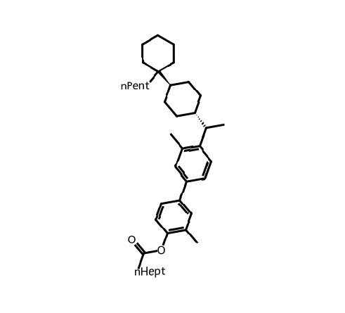 CCCCCCCC(=O)Oc1ccc(-c2ccc(C(C)[C@H]3CC[C@H](C4(CCCCC)CCCCC4)CC3)c(C)c2)cc1C